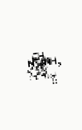 Cn1nc2cccc(OCC3CC3)c2c1S(N)(=O)=O